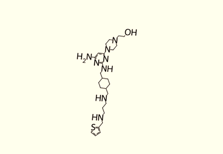 Nc1cc(N2CCN(CCO)CC2)nc(NCC2CCC(CNCCCNCc3cccs3)CC2)n1